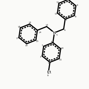 CCc1ccc(N(Cc2ccccc2)Cc2ccccc2)cc1